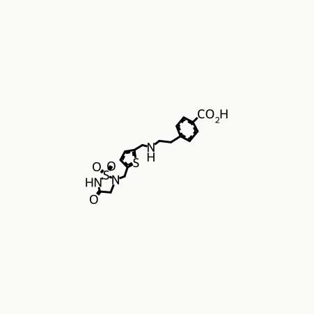 O=C1CN(Cc2ccc(CNCCc3ccc(C(=O)O)cc3)s2)S(=O)(=O)N1